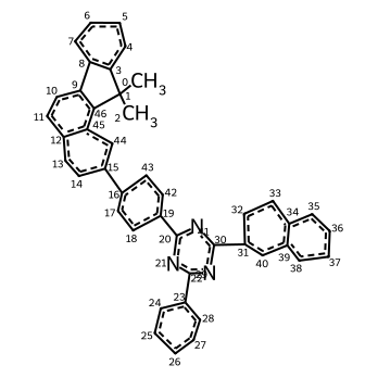 CC1(C)c2ccccc2-c2ccc3ccc(-c4ccc(-c5nc(-c6ccccc6)nc(-c6ccc7ccccc7c6)n5)cc4)cc3c21